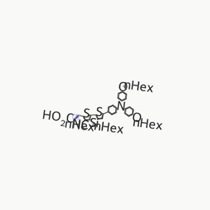 [C-]#[N+]/C(=C\c1cc2c(s1)-c1sc(-c3ccc(N(c4ccc(OCCCCCC)cc4)c4ccc(OCCCCCC)cc4)cc3)cc1[Si]2(CCCCCC)CCCCCC)C(=O)O